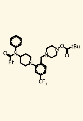 CCC(=O)N(c1ccccc1)C1CCN(c2cc(C(F)(F)F)ccc2CN2CCN(OC(=O)C(C)(C)C)CC2)CC1